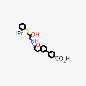 CC(C)c1ccccc1SC[C@@H](O)CNC[C@H]1CCc2cc(-c3ccc(C(=O)O)cc3)ccc2O1